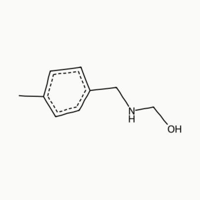 Cc1ccc(CNCO)cc1